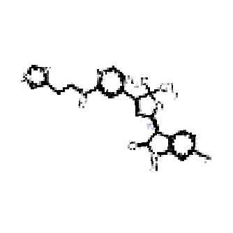 CC1(C)O/C(=C2/C(=O)Nc3cc(F)ccc32)C=C1c1ccnc(NCCc2cscn2)c1